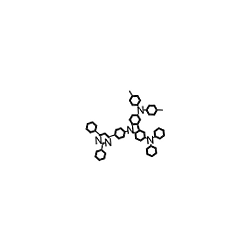 Cc1ccc(N(c2ccc(C)cc2)c2ccc3c(c2)c2cc(N(c4ccccc4)c4ccccc4)ccc2n3-c2ccc(-c3cc(-c4ccccc4)nc(-c4ccccc4)n3)cc2)cc1